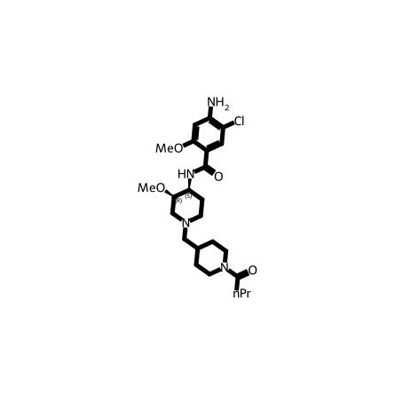 CCCC(=O)N1CCC(CN2CC[C@H](NC(=O)c3cc(Cl)c(N)cc3OC)[C@H](OC)C2)CC1